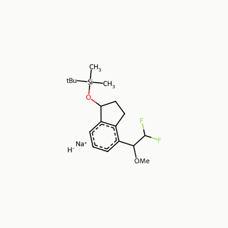 COC(c1cccc2c1CCC2O[Si](C)(C)C(C)(C)C)C(F)F.[H-].[Na+]